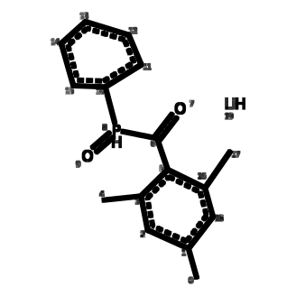 Cc1cc(C)c(C(=O)[PH](=O)c2ccccc2)c(C)c1.[LiH]